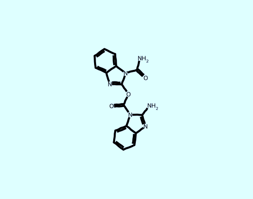 NC(=O)n1c(OC(=O)n2c(N)nc3ccccc32)nc2ccccc21